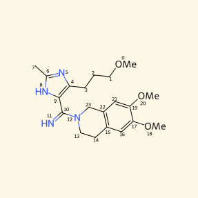 COCCCc1nc(C)[nH]c1C(=N)N1CCc2cc(OC)c(OC)cc2C1